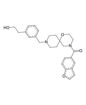 O=C(c1ccc2occc2c1)N1CCOC2(CCN(Cc3cccc(CCO)c3)CC2)C1